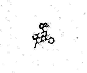 CC(C)c1nccc(CCCI)c1-n1c(=O)nc(N2CCCC[C@@H]2C)c2cc(F)c(-c3cccc4cn[nH]c34)nc21